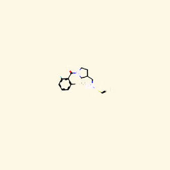 C=CS(=O)(=O)NCC1CCN(C(=O)c2c(F)cccc2OC)C1